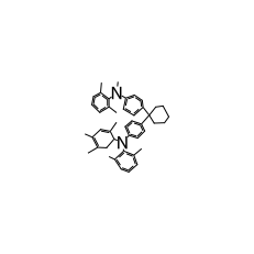 CC1=CC(C)=C(C)CC1N(c1ccc(C2(c3ccc(N(C)c4c(C)cccc4C)cc3)CCCCC2)cc1)c1c(C)cccc1C